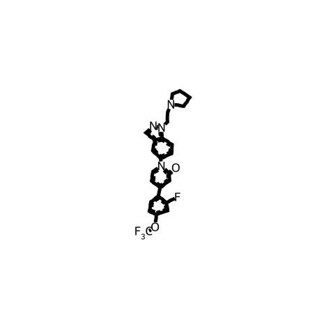 O=c1cc(-c2ccc(OC(F)(F)F)cc2F)ccn1-c1ccc2c(cnn2CCN2CCCC2)c1